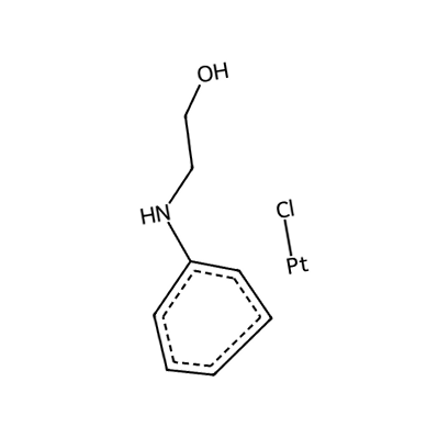 OCCNc1ccccc1.[Cl][Pt]